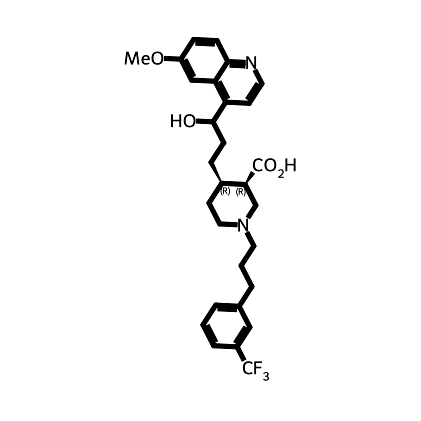 COc1ccc2nccc(C(O)CC[C@@H]3CCN(CCCc4cccc(C(F)(F)F)c4)C[C@@H]3C(=O)O)c2c1